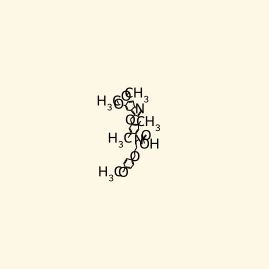 COc1ccc(OCCCN(C(=O)O)c2cc(C)c(Oc3ccnc4cc(OC)c(OC)cc34)cc2C)cc1